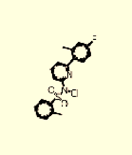 Cc1cc(F)ccc1-c1cccc(N(Cl)S(=O)(=O)c2ccccc2C)n1